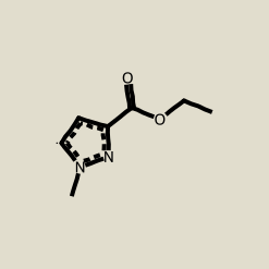 CCOC(=O)c1c[c]n(C)n1